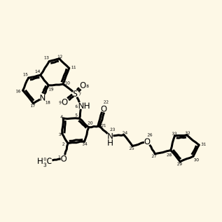 COc1ccc(NS(=O)(=O)c2cccc3cccnc23)c(C(=O)NCCOCc2ccccc2)c1